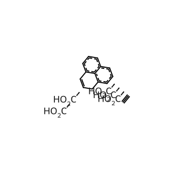 C#C.C1=Cc2cccc3cccc(c23)C1.CC(=O)O.CC(=O)O.CC(=O)O.CC(=O)O.CC(=O)O